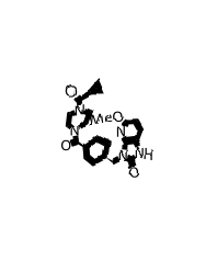 COc1ccc2[nH]c(=O)n(C[C@H]3CC[C@H](C(=O)N4CCN(C(=O)C5CC5)CC4)CC3)c2n1